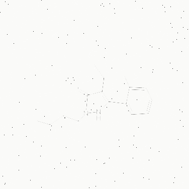 CCCCn1[nH]c(-c2ccccc2C)c(CC)c1=O